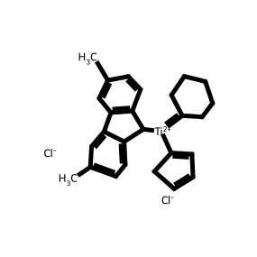 Cc1ccc2c(c1)-c1cc(C)ccc1[CH]2[Ti+2]([C]1=CC=CC1)=[C]1CCCCC1.[Cl-].[Cl-]